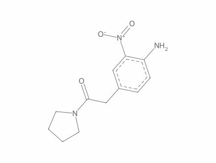 Nc1ccc(CC(=O)N2CCCC2)cc1[N+](=O)[O-]